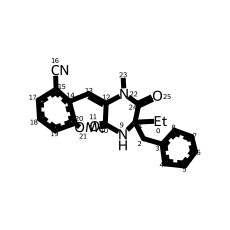 CCC1(Cc2ccccc2)NC(=O)/C(=C\c2c(C#N)cccc2OC)N(C)C1=O